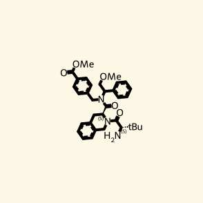 COCC(c1ccccc1)N(Cc1ccc(C(=O)OC)cc1)C(=O)[C@@H]1Cc2ccccc2CN1C(=O)[C@@H](N)C(C)(C)C